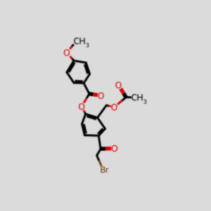 COc1ccc(C(=O)Oc2ccc(C(=O)CBr)cc2COC(C)=O)cc1